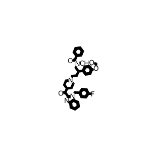 CN(CC(CCN1CCC(C(=O)c2nc3ccccc3n2Cc2ccc(F)cc2)CC1)c1ccc2c(c1)OCO2)C(=O)c1ccccc1